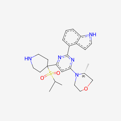 CC(C)S(=O)(=O)C1(c2cc(N3CCOC[C@H]3C)nc(-c3cccc4[nH]ccc34)n2)CCNCC1